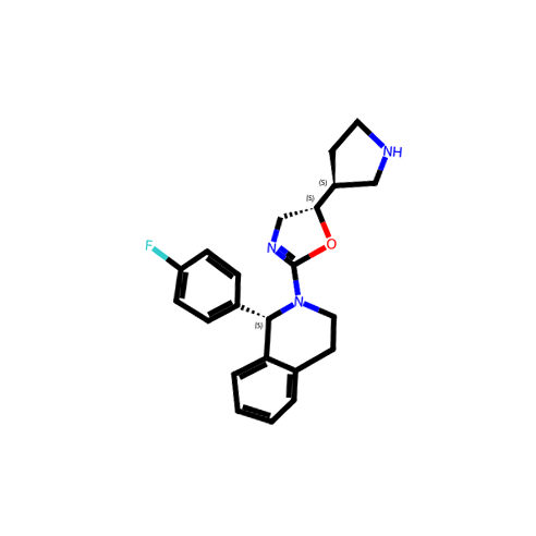 Fc1ccc([C@H]2c3ccccc3CCN2C2=NC[C@H]([C@H]3CCNC3)O2)cc1